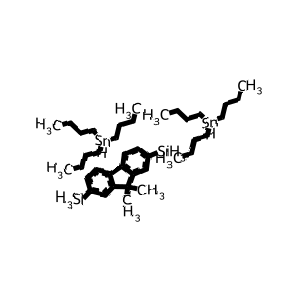 CC1(C)c2cc([SiH3])ccc2-c2ccc([SiH3])cc21.CCC[CH2][SnH]([CH2]CCC)[CH2]CCC.CCC[CH2][SnH]([CH2]CCC)[CH2]CCC